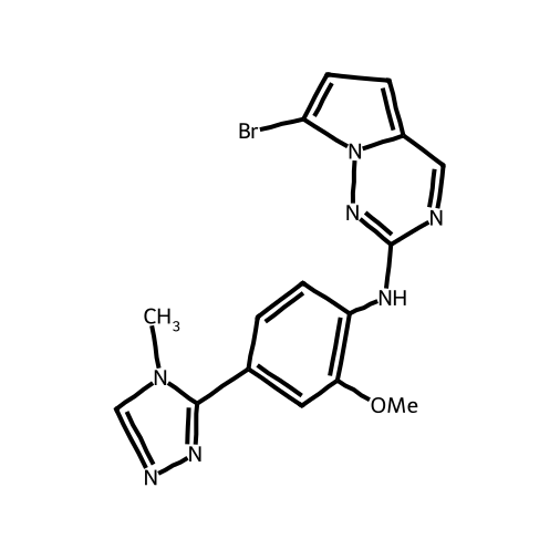 COc1cc(-c2nncn2C)ccc1Nc1ncc2ccc(Br)n2n1